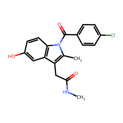 CNC(=O)Cc1c(C)n(C(=O)c2ccc(Cl)cc2)c2ccc(O)cc12